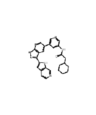 O=C(CC1CCCCC1)Nc1cncc(-c2cnc3[nH]nc(-c4cc5ccncc5[nH]4)c3c2)c1